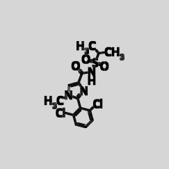 CC(C)S(=O)(=O)NC(=O)c1cn(C)c(-c2c(Cl)cccc2Cl)n1